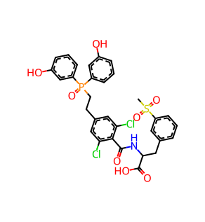 CS(=O)(=O)c1cccc(CC(NC(=O)c2c(Cl)cc(CCP(=O)(c3cccc(O)c3)c3cccc(O)c3)cc2Cl)C(=O)O)c1